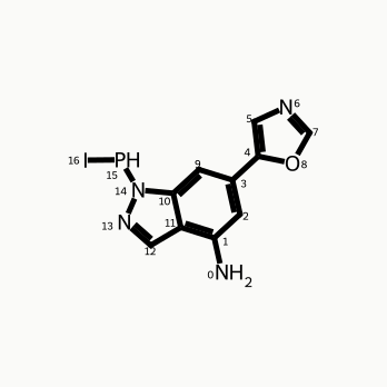 Nc1cc(-c2cnco2)cc2c1cnn2PI